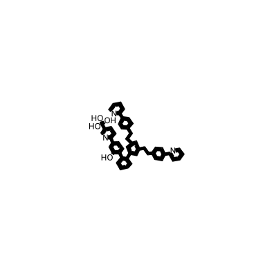 Oc1cc(-c2ccc(C(O)(O)O)cn2)ccc1-c1ccccc1-c1cc(CCc2ccc(-c3ccccn3)cc2)cc(CCc2ccc(-c3ccccn3)cc2)c1